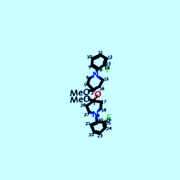 COC1(OC2(OC)CCN(c3ccccc3F)CC2)CCN(c2ccccc2F)CC1